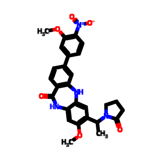 COc1cc2c(cc1C(C)N1CCCC1=O)Nc1cc(-c3ccc([N+](=O)[O-])c(OC)c3)ccc1C(=O)N2